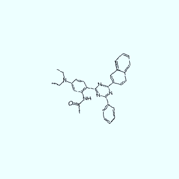 CCN(CC)c1ccc(-c2nc(-c3ccccc3)nc(-c3ccc4ccccc4c3)n2)c(NC(C)=O)c1